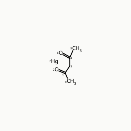 CC(=O)CC(C)=O.[Hg]